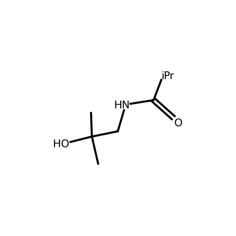 CC(C)C(=O)NCC(C)(C)O